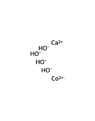 [Ca+2].[Co+2].[OH-].[OH-].[OH-].[OH-]